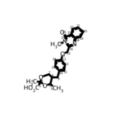 CC1OC(C)(C(=O)O)OCC1Cc1ccc(OCc2nc3ccccc3c(=O)n2C)cc1